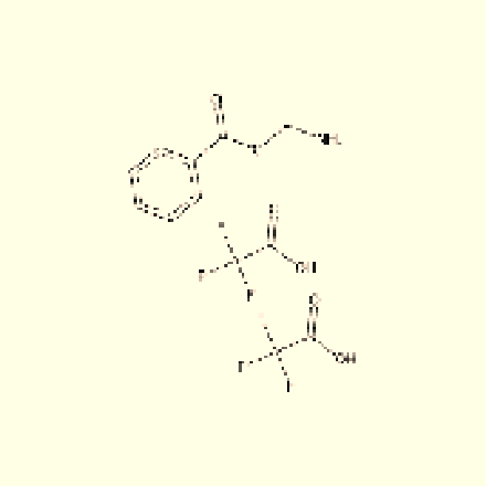 NCOC(=O)c1ccccc1.O=C(O)C(F)(F)F.O=C(O)C(F)(F)F